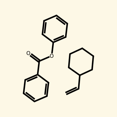 C=CC1CCCCC1.O=C(Oc1ccccc1)c1ccccc1